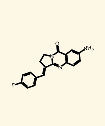 Nc1ccc2nc3n(c(=O)c2c1)CCC3=Cc1ccc(F)cc1